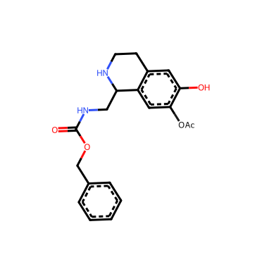 CC(=O)Oc1cc2c(cc1O)CCNC2CNC(=O)OCc1ccccc1